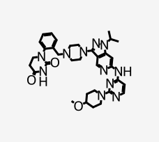 COC1CCN(c2nccc(Nc3cc4c(cn3)c(N3CCN(Cc5ccccc5N5CCC(=O)NC5=O)CC3)nn4C(C)C)n2)CC1